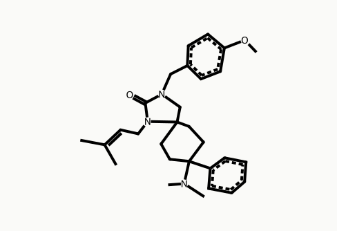 COc1ccc(CN2CC3(CCC(c4ccccc4)(N(C)C)CC3)N(CC=C(C)C)C2=O)cc1